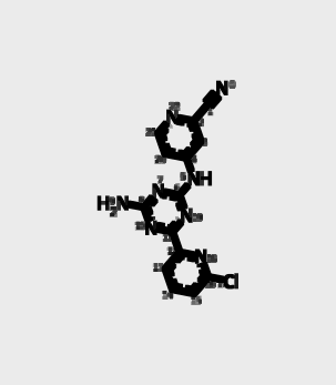 N#Cc1cc(Nc2nc(N)nc(-c3cccc(Cl)n3)n2)ccn1